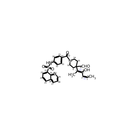 C/C=C\C(O)=C(/C)C1(C=O)CCN(C(=O)c2ccc(NS(=O)(=O)c3cccc4cccnc34)cc2)CC1